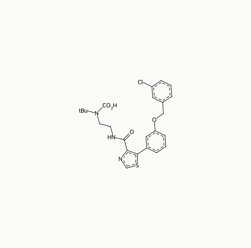 CC(C)(C)N(CCNC(=O)c1ncsc1-c1cccc(OCc2cccc(Cl)c2)c1)C(=O)O